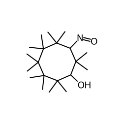 CC1(C)C(O)C(C)(C)C(C)(C)C(C)(C)C(C)(C)C(C)(C)C1N=O